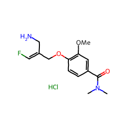 COc1cc(C(=O)N(C)C)ccc1OCC(=CF)CN.Cl